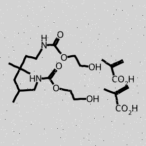 C=C(C)C(=O)O.C=C(C)C(=O)O.CC(CNC(=O)OCCO)CC(C)(C)CCNC(=O)OCCO